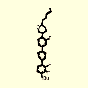 C/C=C/CCC1CCC(c2ccc(-c3ccc(-c4ccc(CCCC)c(F)c4F)cc3)cc2F)CO1